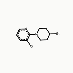 CC(C)C1CCN(c2ncccc2Cl)CC1